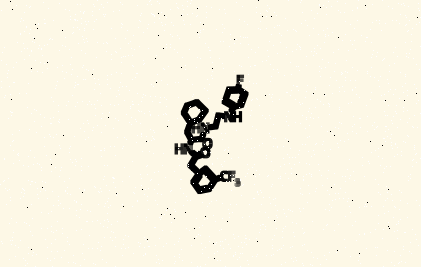 O=C(Cc1cccc(C(F)(F)F)c1)NC(CC1CCCCC1)C(=O)NCCNc1ccc(F)cc1